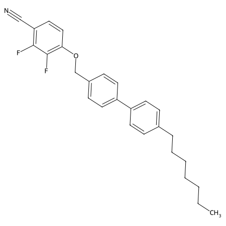 CCCCCCCc1ccc(-c2ccc(COc3ccc(C#N)c(F)c3F)cc2)cc1